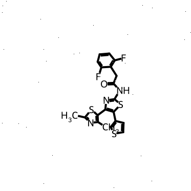 Cc1nc(C)c(-c2nc(NC(=O)Cc3c(F)cccc3F)sc2-c2ccsc2)s1